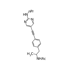 CCCNc1ncc(C#Cc2ccc(CC(C)NC(C)=O)cc2)cn1